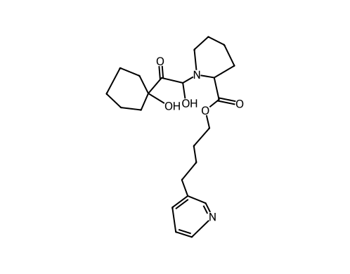 O=C(OCCCCc1cccnc1)C1CCCCN1C(O)C(=O)C1(O)CCCCC1